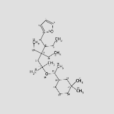 CC[C](Cc1ccco1)C(CC)(CC)CC(C)(C)OC(C)C1CCCC(C)(C)C1